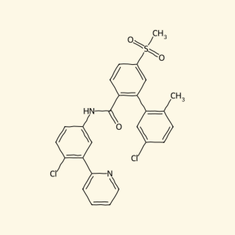 Cc1ccc(Cl)cc1-c1cc(S(C)(=O)=O)ccc1C(=O)Nc1ccc(Cl)c(-c2ccccn2)c1